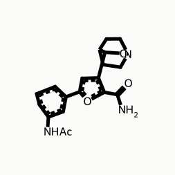 CC(=O)Nc1cccc(-c2cc(C3CN4CCC3CC4)c(C(N)=O)o2)c1